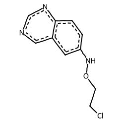 ClCCONc1ccc2ncncc2c1